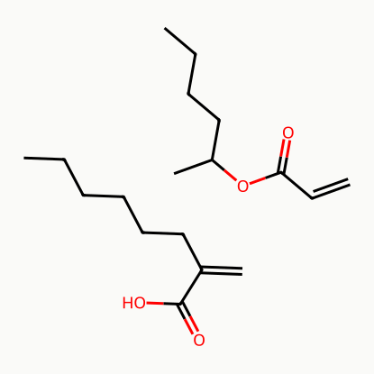 C=C(CCCCCC)C(=O)O.C=CC(=O)OC(C)CCCC